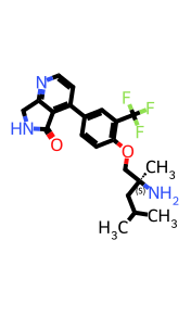 CC(C)C[C@](C)(N)COc1ccc(-c2ccnc3c2C(=O)NC3)cc1C(F)(F)F